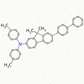 Cc1ccc(N(c2ccc(C)cc2)c2ccc3c(c2)C(C)(C)c2cc(-c4ccc(-c5ccccc5)cc4)ccc2-3)cc1